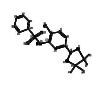 CC1(C)OB(c2cnc(Cl)c(NS(=O)(=O)c3ccccc3)c2)OC1(C)C